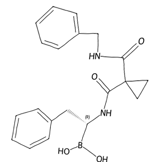 O=C(NCc1ccccc1)C1(C(=O)N[C@@H](Cc2ccccc2)B(O)O)CC1